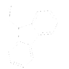 O=PC1c2ccccc2-c2ccccc21